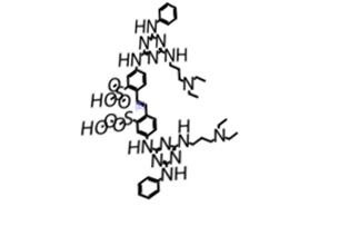 CCN(CC)CCCNc1nc(Nc2ccccc2)nc(Nc2ccc(/C=C/c3ccc(Nc4nc(NCCCN(CC)CC)nc(Nc5ccccc5)n4)cc3S(=O)(=O)O)c(SOOO)c2)n1